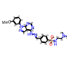 COc1cccc(-n2ncc3c(N/N=C/c4ccc(S(=O)(=O)NCCN(C)C)cc4)ncnc32)c1